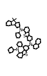 CC1(C)c2ccccc2-c2cc(N(c3ccccc3)c3cccc4c3sc3cc(N(c5ccc6c(c5)sc5cccc(N(c7ccccc7)c7ccccc7)c56)c5cccc6ccccc56)ccc34)ccc21